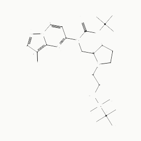 CC(C)(C)OC(=O)N(CC1CCCN1CCO[Si](C)(C)C(C)(C)C)c1ccn2ncc(Br)c2n1